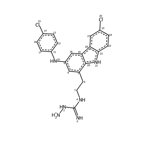 N=C(NN)NCCc1cc(Nc2ccc(Cl)cc2)cc2c1[nH]c1ccc(Cl)cc12